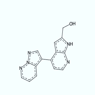 OCc1cc2c(-c3cnn4ncccc34)ccnc2[nH]1